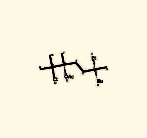 CC[C@@H](C)[C@@](C)(CC)CC[C@@](C)(OC(C)=O)C(C)(C)CC